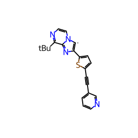 CC(C)(C)c1nccn2[c]c(-c3ccc(C#Cc4cccnc4)s3)nc12